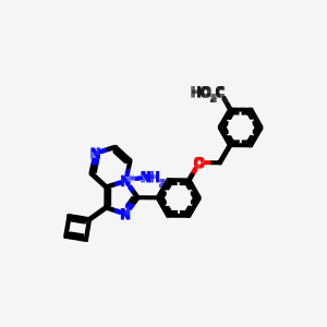 N[N+]12C=CN=CC1=C(C1=CC=C1)N=C2c1cccc(OCc2cccc(C(=O)O)c2)c1